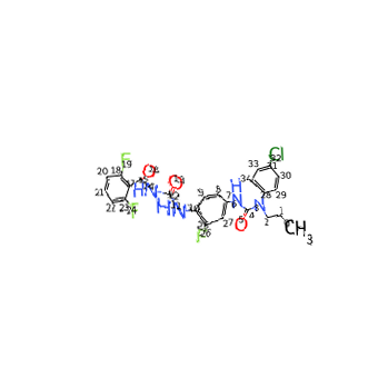 CCCN(C(=O)Nc1ccc(NC(=O)NC(=O)c2c(F)cccc2F)c(F)c1)c1ccc(Cl)cc1